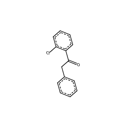 O=C(Cc1ccccc1)c1ccccc1Cl